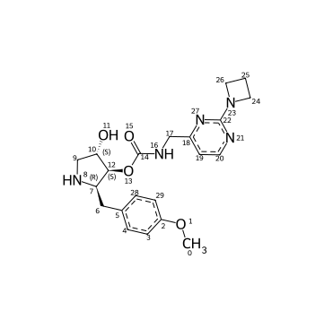 COc1ccc(C[C@H]2NC[C@H](O)[C@H]2OC(=O)NCc2ccnc(N3CCC3)n2)cc1